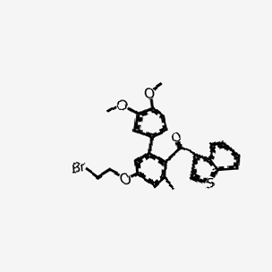 COc1ccc(-c2cc(OCCBr)cc(C)c2C(=O)c2csc3ccccc23)cc1OC